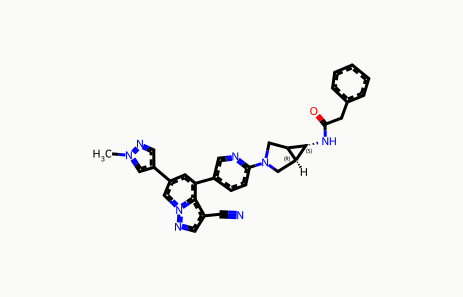 Cn1cc(-c2cc(-c3ccc(N4CC5[C@H](C4)[C@H]5NC(=O)Cc4ccccc4)nc3)c3c(C#N)cnn3c2)cn1